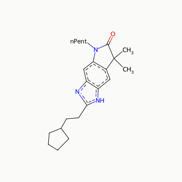 CCCCCN1C(=O)C(C)(C)c2cc3[nH]c(CCC4CCCC4)nc3cc21